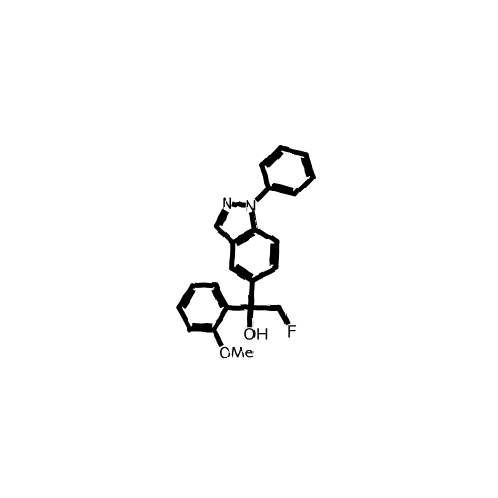 COc1ccccc1C(O)(CF)c1ccc2c(cnn2-c2ccccc2)c1